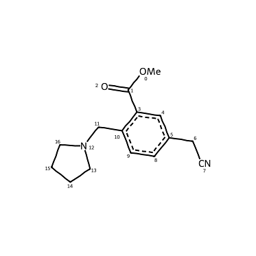 COC(=O)c1cc(CC#N)ccc1CN1CCCC1